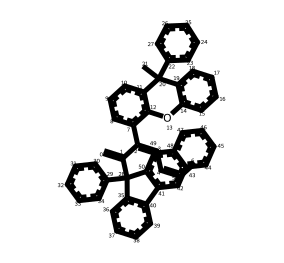 C=C(/C(=C\C=C/C)c1cccc2c1Oc1ccccc1C2(C)c1ccccc1)C1(c2ccccc2)c2ccccc2-c2cc3ccccc3cc21